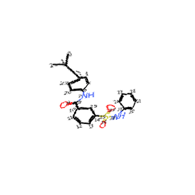 CC(C)c1ccc(NC(=O)c2cccc(S(=O)(=O)Nc3ccccc3)c2)cc1